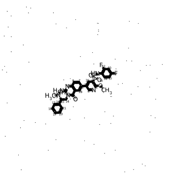 COc1ncc(-c2ccc3nc(N)n(CC(c4ccccc4)N(C)C)c(=O)c3c2)cc1S(=O)(=O)Nc1ccc(F)cc1F